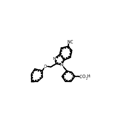 [C-]#[N+]c1ccc2c(c1)nc(COc1ccccc1)n2-c1cccc(C(=O)O)c1